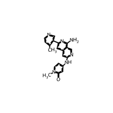 Cc1ccncc1-c1cc2cc(Nc3ccn(C)c(=O)c3)ncc2c(N)n1